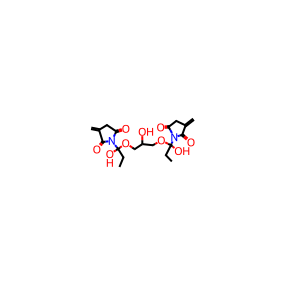 C=C1CC(=O)N(C(O)(CC)OCC(O)COC(O)(CC)N2C(=O)CC(=C)C2=O)C1=O